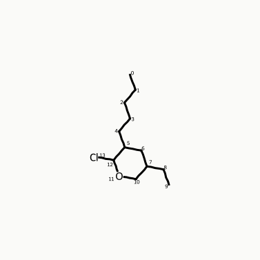 CCCCCC1CC(CC)COC1Cl